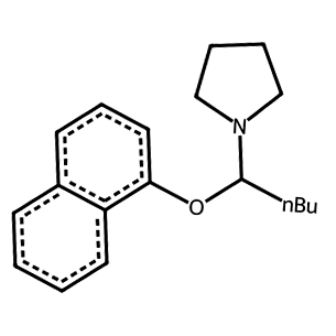 CCCCC(Oc1cccc2ccccc12)N1CCCC1